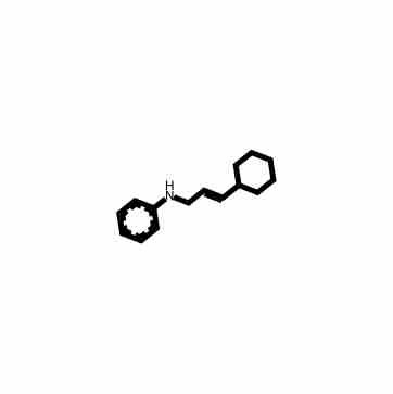 C(=CC1CCCCC1)CNc1ccccc1